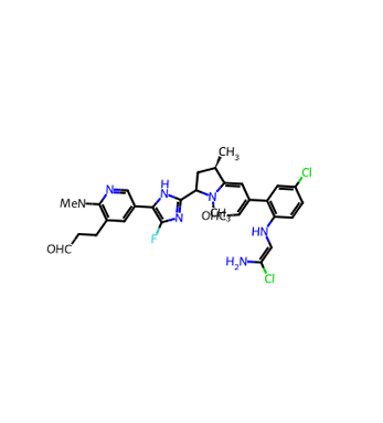 CNc1ncc(-c2[nH]c(C3C[C@@H](C)/C(=C/C(=C\C=O)c4cc(Cl)ccc4N/C=C(\N)Cl)N3C)nc2F)cc1CCC=O